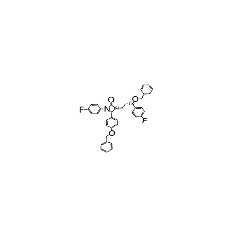 O=C1[C@@H](CC[C@H](OCc2ccccc2)c2ccc(F)cc2)C(c2ccc(OCc3ccccc3)cc2)N1c1ccc(F)cc1